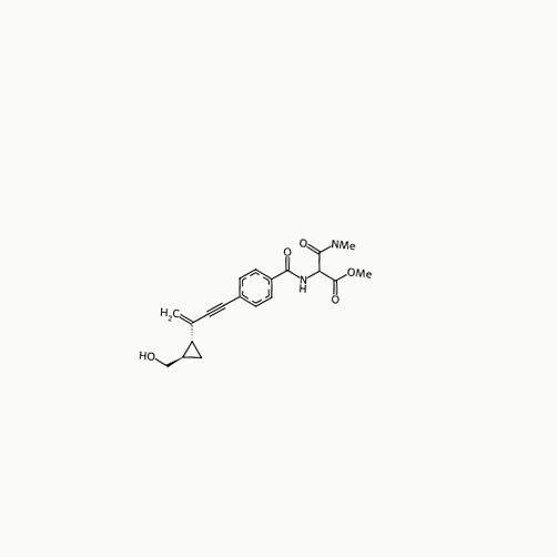 C=C(C#Cc1ccc(C(=O)NC(C(=O)NC)C(=O)OC)cc1)[C@@H]1C[C@H]1CO